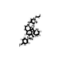 CCCn1cc(SN2CCC3Cc4c(cnn4-c4ccc(F)cc4)CC3(C(=O)c3ccccn3)C2)cn1